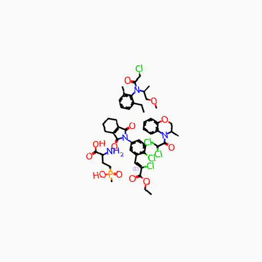 CC1COc2ccccc2N1C(=O)C(Cl)Cl.CCOC(=O)/C(Cl)=C/c1cc(N2C(=O)C3=C(CCCC3)C2=O)ccc1Cl.CCc1cccc(C)c1N(C(=O)CCl)C(C)COC.CP(=O)(O)CCC(N)C(=O)O